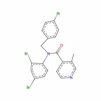 Cc1cnccc1C(=O)N(Cc1ccc(Br)cc1)c1ccc(Br)cc1Br